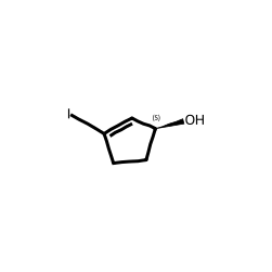 O[C@@H]1C=C(I)CC1